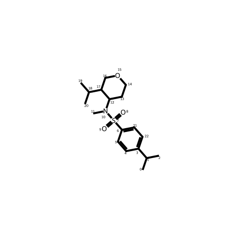 CC(C)c1ccc(S(=O)(=O)N(C)C2CCOCC2C(C)C)cc1